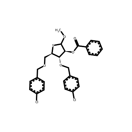 COC1S[C@H](COCc2ccc(Cl)cc2)[C@@H](OCc2ccc(Cl)cc2)[C@@H]1OC(=O)c1ccccc1